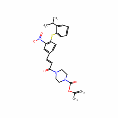 C=C(C)OC(=O)N1CCN(C(=O)C=Cc2ccc(Sc3ccccc3C(C)C)c([N+](=O)[O-])c2)CC1